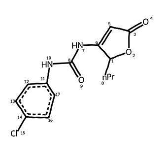 CCCC1OC(=O)C=C1NC(=O)Nc1ccc(Cl)cc1